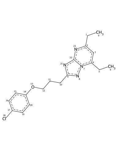 CCc1cc(CC)n2nc(CCCOc3ccc(Cl)cc3)nc2n1